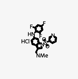 CNCc1cn(S(=O)(=O)c2cccnc2)c2cc(Nc3c(F)cc(F)cc3F)ccc12.Cl